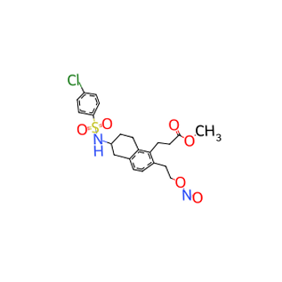 COC(=O)CCc1c(CCON=O)ccc2c1CCC(NS(=O)(=O)c1ccc(Cl)cc1)C2